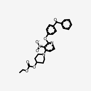 CCOC(=O)OC1CCN(c2ccnc(Oc3ccc(C(=O)c4ccccc4)cc3)c2[N+](=O)[O-])CC1